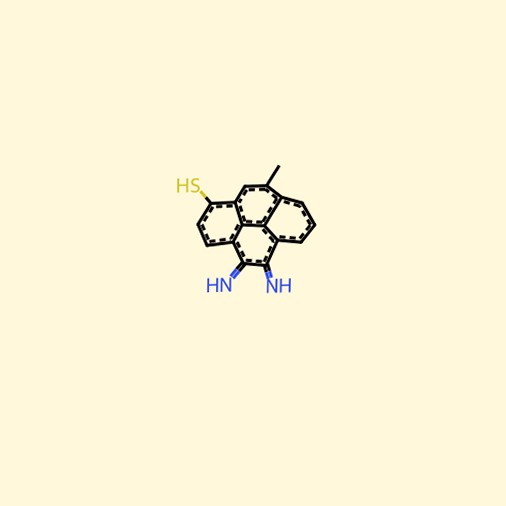 Cc1cc2c(S)ccc3c(=N)c(=N)c4cccc1c4c23